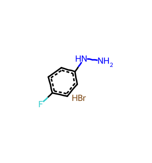 Br.NNc1ccc(F)cc1